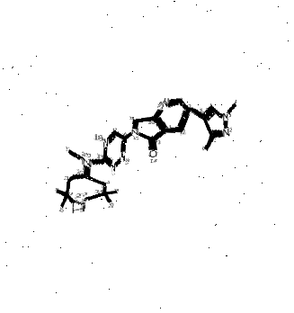 Cc1nn(C)cc1-c1cnc2c(c1)C(=O)N(c1cnc(N(C)C3CC(C)(C)NC(C)(C)C3)nn1)C2